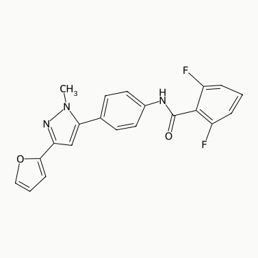 Cn1nc(-c2ccco2)cc1-c1ccc(NC(=O)c2c(F)cccc2F)cc1